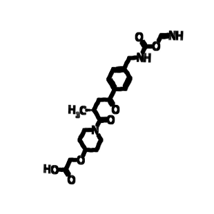 C[C@H](CC(=O)c1ccc(CNC(=O)OC=N)cc1)C(=O)N1CCC(OCC(=O)O)CC1